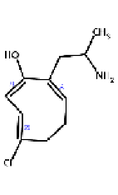 CC(N)CC1=C/CC/C(Cl)=C/C=C\1O